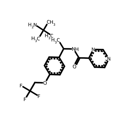 CC(C)(C)N.CC(NC(=O)c1ccncn1)c1ccc(OCC(F)(F)F)cc1